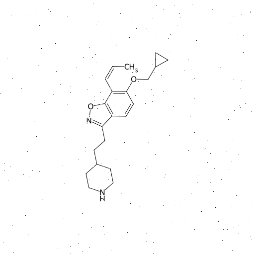 C/C=C\c1c(OCC2CC2)ccc2c(CCC3CCNCC3)noc12